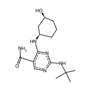 CC(C)(C)Nc1ncc(C(N)=O)c(N[C@@H]2CCC[C@H](O)C2)n1